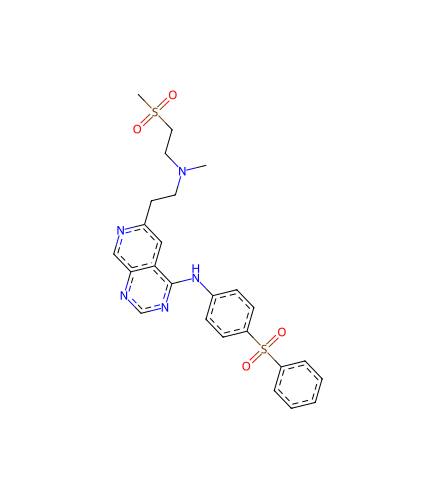 CN(CCc1cc2c(Nc3ccc(S(=O)(=O)c4ccccc4)cc3)ncnc2cn1)CCS(C)(=O)=O